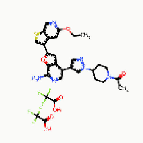 CCOc1cc2c(-c3cc4c(-c5cnn(C6CCN(C(C)=O)CC6)c5)cnc(N)c4o3)csc2cn1.O=C(O)C(F)(F)F.O=C(O)C(F)(F)F